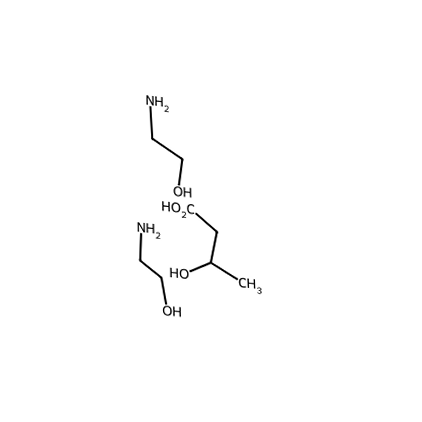 CC(O)CC(=O)O.NCCO.NCCO